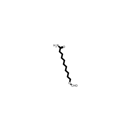 NC(=O)CCCCCCCCCCOC=O